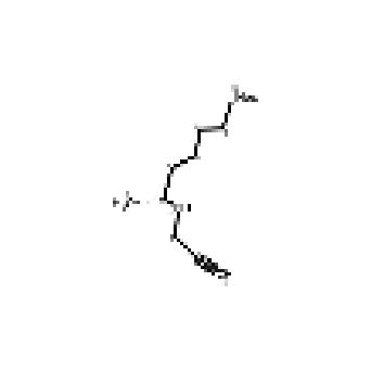 C#CCN[C@H](C)CCCCCCCCCC